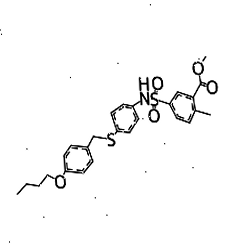 CCCCOc1ccc(CSc2ccc(NS(=O)(=O)c3ccc(C)c(C(=O)OC)c3)cc2)cc1